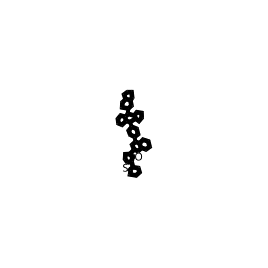 c1ccc2cc(-c3c4ccccc4c(-c4ccc(-c5cc6c7ccc8sc9ccccc9c8c7oc6c6ccccc56)cc4)c4ccccc34)ccc2c1